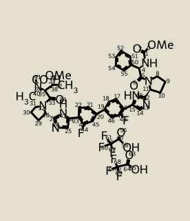 COC(=O)N[C@@H](C(=O)N1CCC[C@H]1c1ncc(-c2ccc(-c3ccc(-c4cnc([C@@H]5CCCN5C(=O)[C@H]([C@@H](C)OC)N(C)C(=O)O)[nH]4)c(F)c3)cc2F)[nH]1)c1ccccc1.O=C(O)C(F)(F)F.O=C(O)C(F)(F)F